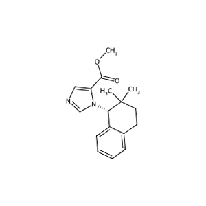 COC(=O)c1cncn1[C@H]1c2ccccc2CCC1(C)C